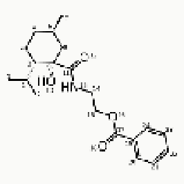 CC(C)[C@@H]1CC[C@@H](C)C[C@@]1(O)C(=O)NCCOC(=O)c1ccccc1